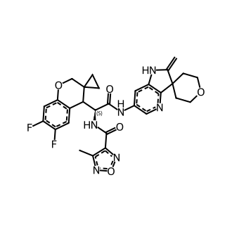 C=C1Nc2cc(NC(=O)[C@@H](NC(=O)c3nonc3C)C3c4cc(F)c(F)cc4OCC34CC4)cnc2C12CCOCC2